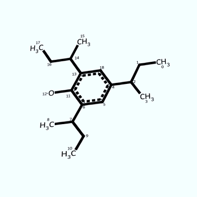 CCC(C)c1cc(C(C)CC)c([O])c(C(C)CC)c1